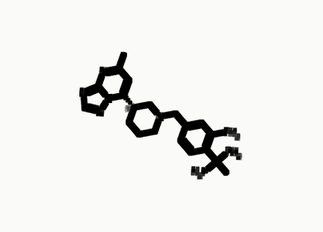 Cc1cc([C@H]2CCCN(Cc3ccc(C(C)(P)P)c(P)c3)C2)n2ncnc2n1